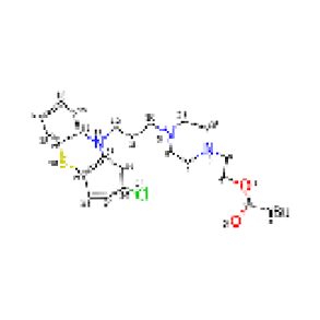 CCCCC(=O)OCCN1CCN(CCCN2c3ccccc3Sc3ccc(Cl)cc32)CC1